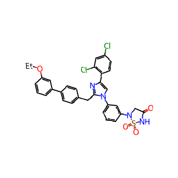 CCOc1cccc(-c2ccc(Cc3nc(-c4ccc(Cl)cc4Cl)cn3-c3cccc(N4CC(=O)NS4(=O)=O)c3)cc2)c1